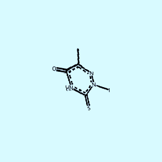 Cc1nn(I)c(=S)[nH]c1=O